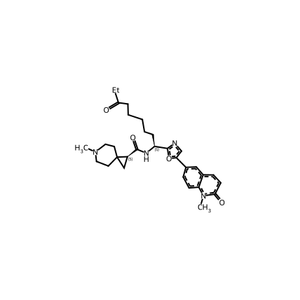 CCC(=O)CCCCC[C@H](NC(=O)[C@H]1CC12CCN(C)CC2)c1ncc(-c2ccc3c(ccc(=O)n3C)c2)o1